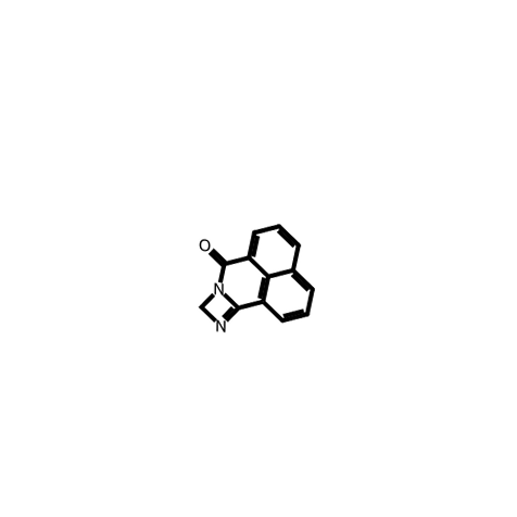 O=c1c2cccc3cccc(c4n1CN=4)c32